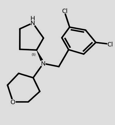 Clc1cc(Cl)cc(CN(C2CCOCC2)[C@H]2CCNC2)c1